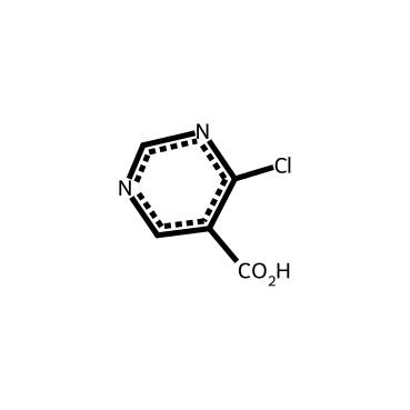 O=C(O)c1cncnc1Cl